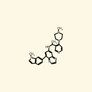 CC(Nc1cc(-c2ccc3ccn(C)c3c2)c2nccnc2c1)c1cnccc1N1CCN(C)CC1